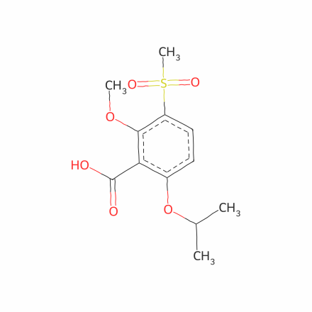 COc1c(S(C)(=O)=O)ccc(OC(C)C)c1C(=O)O